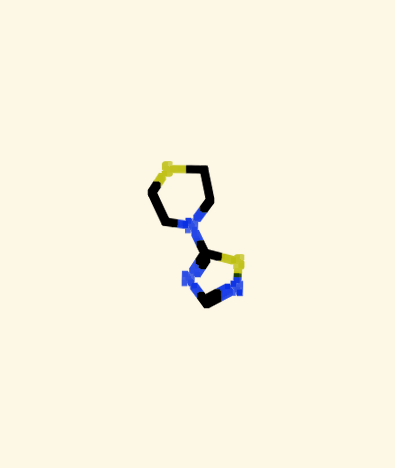 c1nsc(N2CCSCC2)n1